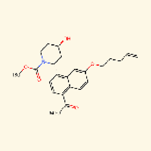 C=CCCCOc1ccc2c(C(=O)OC)ccc([C@H]3C[C@H](O)CCN3C(=O)OC(C)(C)C)c2c1